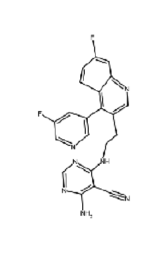 N#Cc1c(N)ncnc1NCCc1cnc2cc(F)ccc2c1-c1cncc(F)c1